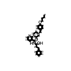 CCCCOc1ccc(CN2CCN(c3ncccc3C(=O)NC(O)CCc3ccccc3)CC2)cc1